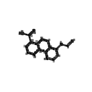 O=COc1ccnc2c1ccc1c(C(=O)O)ccnc12